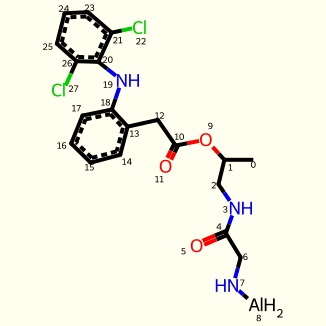 CC(CNC(=O)C[NH][AlH2])OC(=O)Cc1ccccc1Nc1c(Cl)cccc1Cl